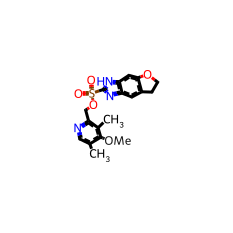 COc1c(C)cnc(COS(=O)(=O)c2nc3cc4c(cc3[nH]2)OCC4)c1C